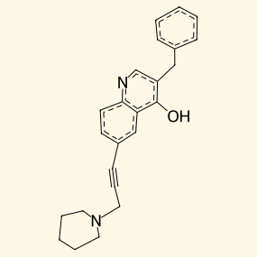 Oc1c(Cc2ccccc2)cnc2ccc(C#CCN3CCCCC3)cc12